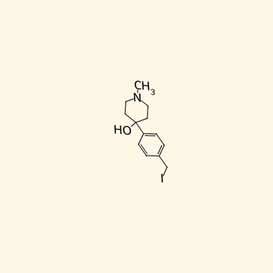 CN1CCC(O)(c2ccc(CI)cc2)CC1